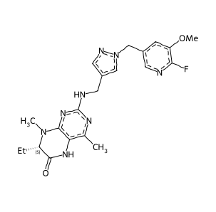 CC[C@H]1C(=O)Nc2c(C)nc(NCc3cnn(Cc4cnc(F)c(OC)c4)c3)nc2N1C